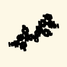 Cc1cccc(-c2n[nH]cc2-c2ccnc(-c3nc4c(n3N3CCN(C)CC3)CN(C(=O)N3Cc5nc(-c6cc(-c7c[nH]nc7-c7cccc(C)n7)ccn6)n(N6CCN(C)CC6)c5C3)C4)c2)n1